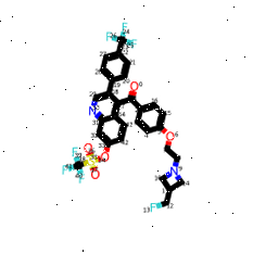 O=C(c1ccc(OCCN2CC(CF)C2)cc1)c1c(-c2ccc(C(F)(F)F)cc2)cnc2cc(OS(=O)(=O)C(F)(F)F)ccc12